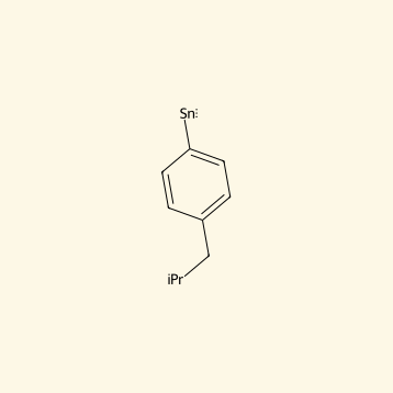 CC(C)Cc1cc[c]([Sn])cc1